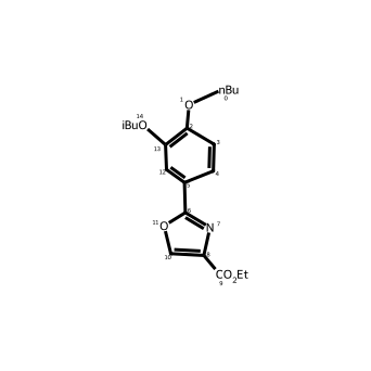 CCCCOc1ccc(-c2nc(C(=O)OCC)co2)cc1OCC(C)C